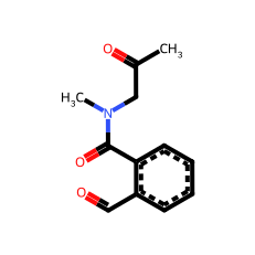 CC(=O)CN(C)C(=O)c1ccccc1C=O